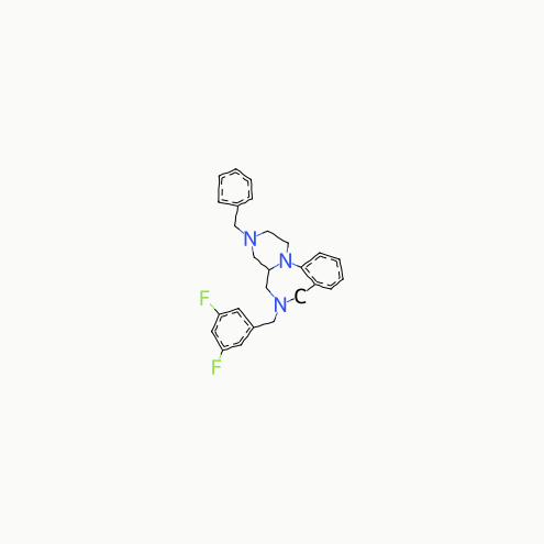 Fc1cc(F)cc(CN2Cc3ccccc3N3CCN(Cc4ccccc4)CC3C2)c1